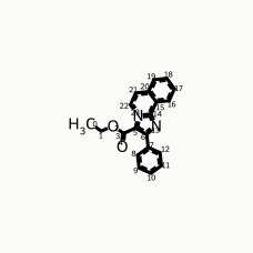 CCOC(=O)c1c(-c2ccccc2)nc2c3ccccc3ccn12